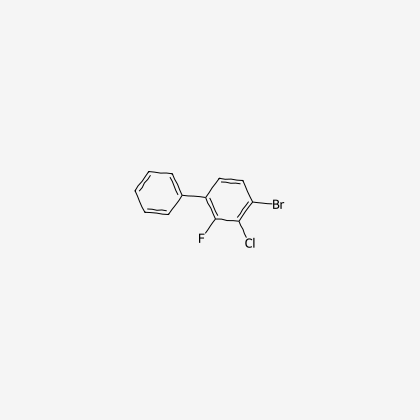 Fc1c(-c2ccccc2)ccc(Br)c1Cl